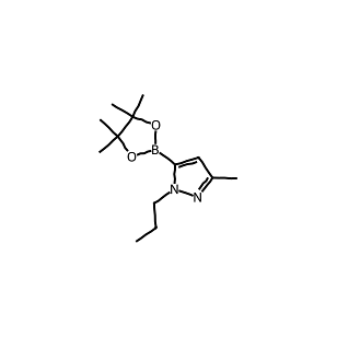 CCCn1nc(C)cc1B1OC(C)(C)C(C)(C)O1